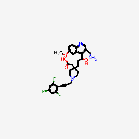 COc1ccc2ncc(CN)c(C(O)CCC3(CC(=O)O)CCN(CC#Cc4c(F)cc(F)cc4F)CC3)c2c1